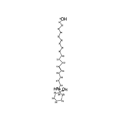 OCCCCCCCCCCCCCCCCCCNC1(O)CCCCC1